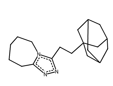 C1CCc2nnc(CCC34CC5CC(CC(C5)C3)C4)n2CC1